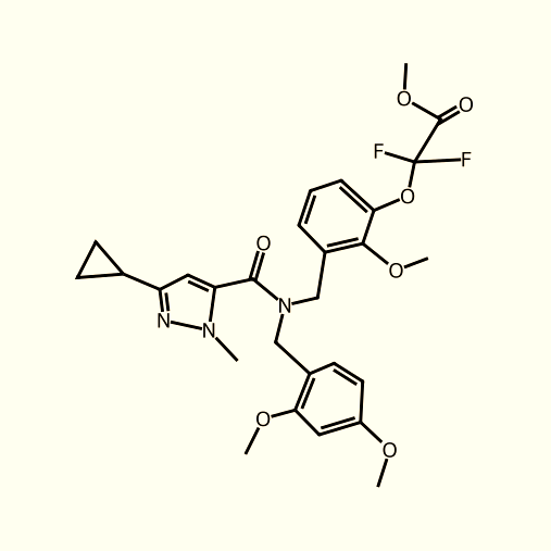 COC(=O)C(F)(F)Oc1cccc(CN(Cc2ccc(OC)cc2OC)C(=O)c2cc(C3CC3)nn2C)c1OC